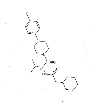 CC(C)[C@@H](NC(=O)CC1CCCCC1)C(=O)N1CCC(c2ccc(F)cc2)CC1